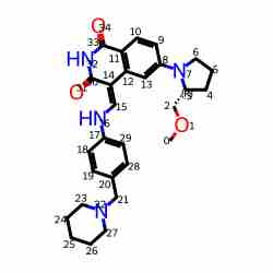 COC[C@H]1CCCN1c1ccc2c(c1)C(=CNc1ccc(CN3CCCCC3)cc1)C(=O)NC2=O